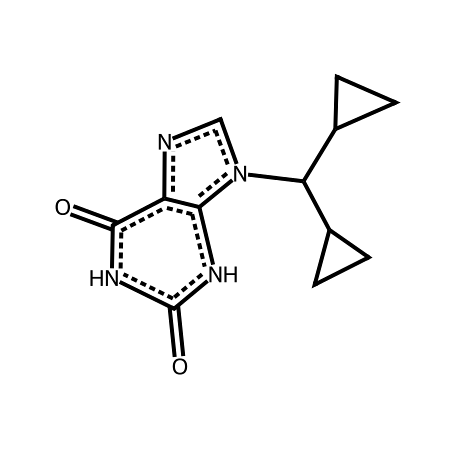 O=c1[nH]c(=O)c2ncn(C(C3CC3)C3CC3)c2[nH]1